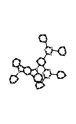 c1ccc(-c2nc(-c3ccccc3)nc(-c3ccc(-n4c5ccccc5c5cc6c(cc54)c4ccccc4n6-c4ccccc4)c(-c4nc(-c5ccccc5)nc(-c5ccccc5)n4)c3)n2)cc1